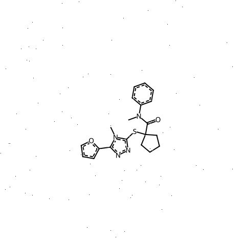 CN(C(=O)C1(Sc2nnc(-c3ccco3)n2C)CCCC1)c1ccccc1